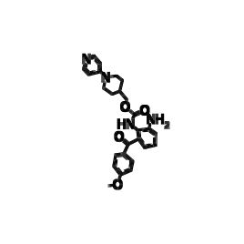 COc1ccc(C(=O)c2cccc(N)c2NC(=O)OCC2CCN(c3ccncc3)CC2)cc1